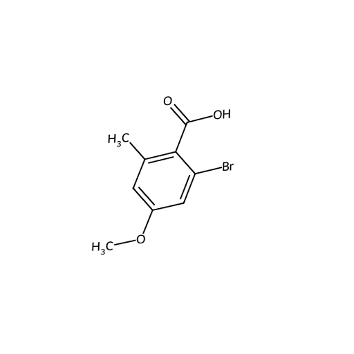 COc1cc(C)c(C(=O)O)c(Br)c1